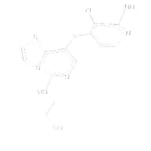 Nc1nccc(Sc2cnc(NCCO)n3ccnc23)c1Cl